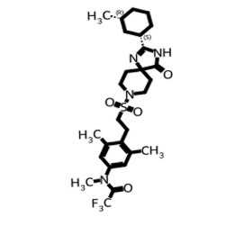 Cc1cc(N(C)C(=O)C(F)(F)F)cc(C)c1CCS(=O)(=O)N1CCC2(CC1)N=C([C@H]1CCC[C@@H](C)C1)NC2=O